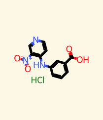 Cl.O=C(O)c1cccc(Nc2ccncc2[N+](=O)[O-])c1